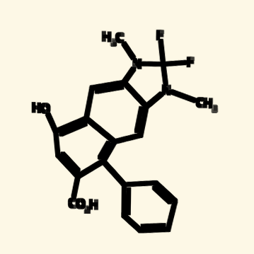 CN1c2cc3c(O)cc(C(=O)O)c(-c4ccccc4)c3cc2N(C)C1(F)F